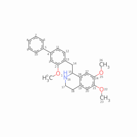 COc1cc(-c2ccccc2)ccc1CC1NCCc2cc(OC)c(OC)cc21